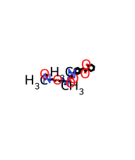 CN(C=O)CCCOCCN(C)C(=O)CC(=O)N(C)c1ccc(CC(=O)C2CCCCC2=O)cc1